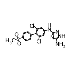 CS(=O)(=O)c1ccc(-c2c(Cl)cc(Nc3n[nH]c(N)n3)cc2Cl)cc1